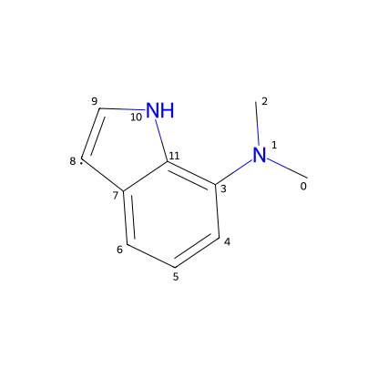 CN(C)c1cccc2[c]c[nH]c12